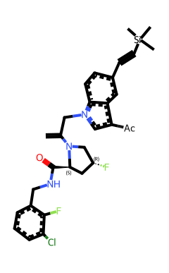 C=C(Cn1cc(C(C)=O)c2cc(C#C[Si](C)(C)C)ccc21)N1C[C@H](F)C[C@H]1C(=O)NCc1cccc(Cl)c1F